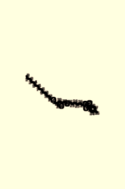 CCCCCCCCCCCCCCOCC1COC(COCCCCCCOS(=O)(=O)c2ccc(C)cc2)C1